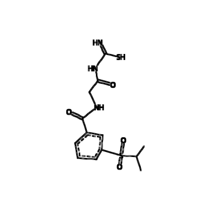 CC(C)S(=O)(=O)c1cccc(C(=O)NCC(=O)NC(=N)S)c1